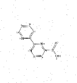 O=C(O)c1cnnc(-c2ccccn2)n1